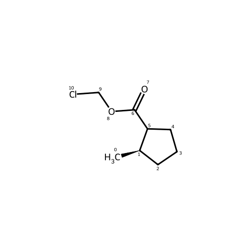 C[C@@H]1CCCC1C(=O)OCCl